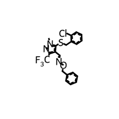 Cn1nc(C(F)(F)F)c(C=NOCc2ccccc2)c1SCc1ccccc1Cl